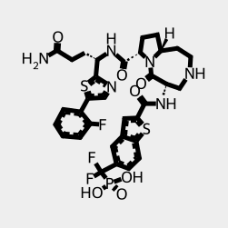 NC(=O)CC[C@H](NC(=O)[C@@H]1CC[C@@H]2CCNC[C@H](NC(=O)c3cc4cc(C(F)(F)P(=O)(O)O)ccc4s3)C(=O)N21)c1ncc(-c2ccccc2F)s1